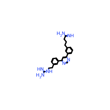 N=C(N)CCCc1cccc(-c2cc(-c3cccc(CCNC(=N)N)c3)ncn2)c1